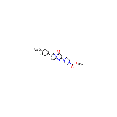 COc1ccc(-c2ccc3nc(N4CCN(C(=O)OC(C)(C)C)CC4)cc(=O)n3c2)cc1F